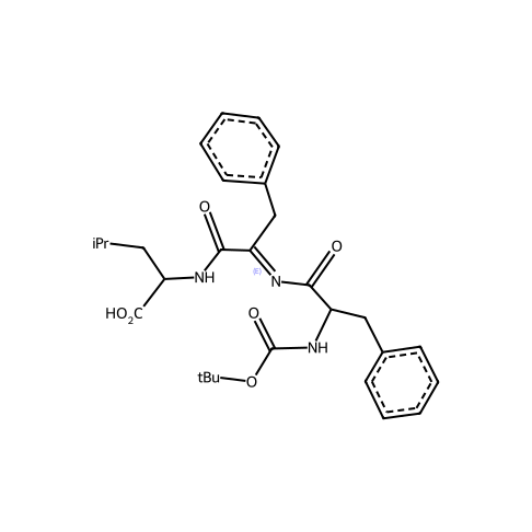 CC(C)CC(NC(=O)/C(Cc1ccccc1)=N/C(=O)C(Cc1ccccc1)NC(=O)OC(C)(C)C)C(=O)O